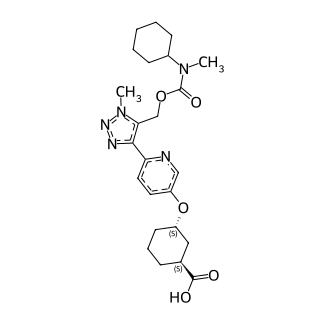 CN(C(=O)OCc1c(-c2ccc(O[C@H]3CCC[C@H](C(=O)O)C3)cn2)nnn1C)C1CCCCC1